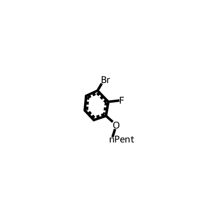 CCCCCOc1cccc(Br)c1F